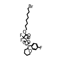 CS(OS(=O)(=O)C(F)(F)C(=O)OCCCCCCCCBr)(c1ccc(F)cc1)C1CCCCO1